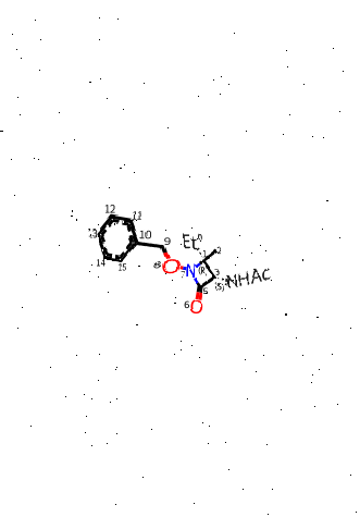 CC[C@]1(C)[C@H](NC(C)=O)C(=O)N1OCc1ccccc1